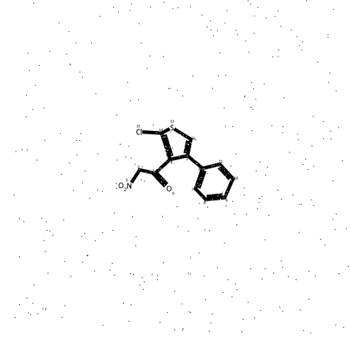 O=C(C[N+](=O)[O-])c1c(-c2ccccc2)csc1Cl